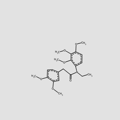 CCN(C(=O)Cc1ccc(OC)c(OC)c1)c1ccc(OC)c(OC)c1OC